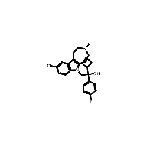 CN1CCc2c(n(CC(O)(c3ccc(F)cc3)C3CCC3)c3ccc(Cl)cc23)CC1